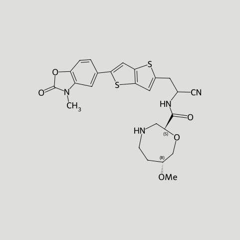 CO[C@@H]1CCNC[C@@H](C(=O)NC(C#N)Cc2cc3sc(-c4ccc5oc(=O)n(C)c5c4)cc3s2)OC1